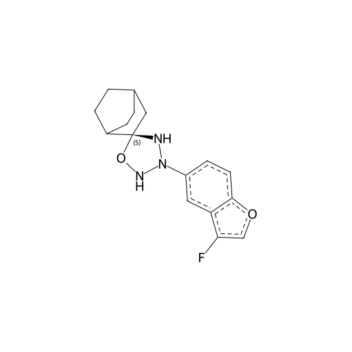 Fc1coc2ccc(N3NO[C@]4(CC5CCC4CC5)N3)cc12